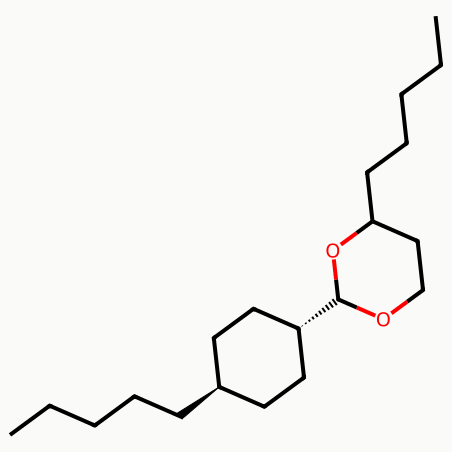 CCCCCC1CCOC([C@H]2CC[C@H](CCCCC)CC2)O1